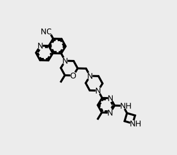 Cc1cc(N2CCN(CC3CN(c4ccc(C#N)c5ncccc45)CC(C)O3)CC2)nc(NC2CNC2)n1